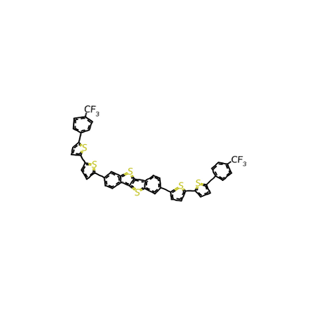 FC(F)(F)c1ccc(-c2ccc(-c3ccc(-c4ccc5c(c4)sc4c6ccc(-c7ccc(-c8ccc(-c9ccc(C(F)(F)F)cc9)s8)s7)cc6sc54)s3)s2)cc1